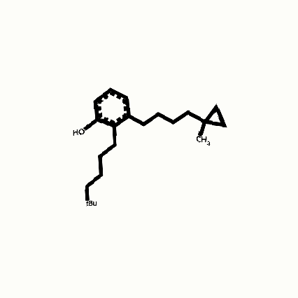 CC(C)(C)CCCCc1c(O)cccc1CCCCC1(C)CC1